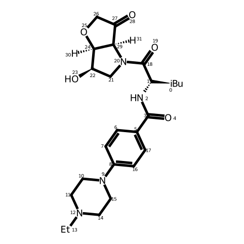 CC[C@H](C)[C@H](NC(=O)c1ccc(N2CCN(CC)CC2)cc1)C(=O)N1C[C@@H](O)[C@H]2OCC(=O)[C@H]21